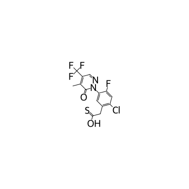 Cc1c(C(F)(F)F)cnn(-c2cc(CC(O)=S)c(Cl)cc2F)c1=O